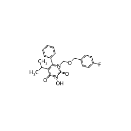 CC(C)c1c(-c2ccccc2)n(COCc2ccc(F)cc2)c(=O)n(O)c1=O